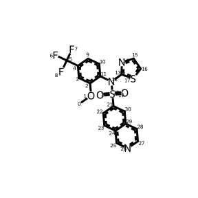 COc1cc(C(F)(F)F)ccc1N(c1nccs1)S(=O)(=O)c1ccc2cnccc2c1